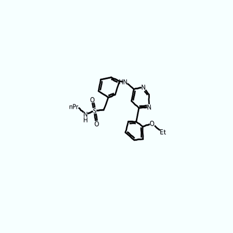 CCCNS(=O)(=O)Cc1cccc(Nc2cc(-c3ccccc3OCC)ncn2)c1